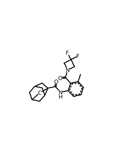 Cc1cccc(NC(=O)C23CC4CC(CC2C4)C3)c1C(=O)N1CC(F)(F)C1